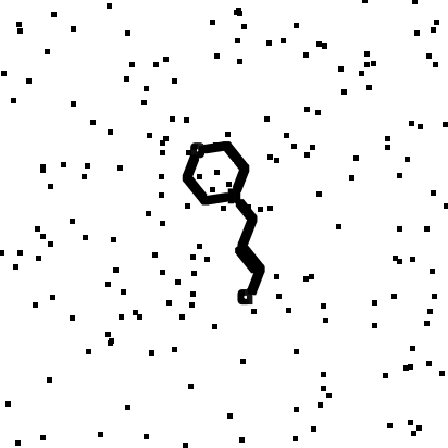 ClC=CCN1CCOCC1